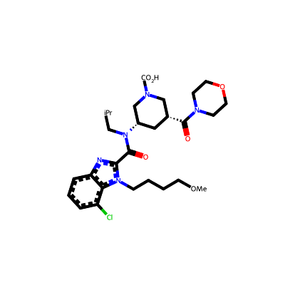 COCCCCn1c(C(=O)N(CC(C)C)[C@H]2C[C@@H](C(=O)N3CCOCC3)CN(C(=O)O)C2)nc2cccc(Cl)c21